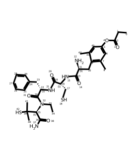 CCC(=O)Oc1cc(C)c(C[C@H](N)C(=O)N[C@H](CS)C(=O)N[C@@H](Cc2ccccc2)C(=O)N(CC)[C@@H](C(N)=O)C(C)(C)S)c(C)c1